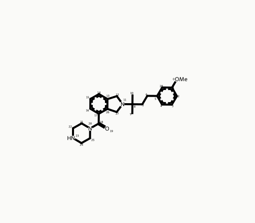 COc1cccc(CCC(C)(C)N2Cc3cccc(C(=O)N4CCNCC4)c3C2)c1